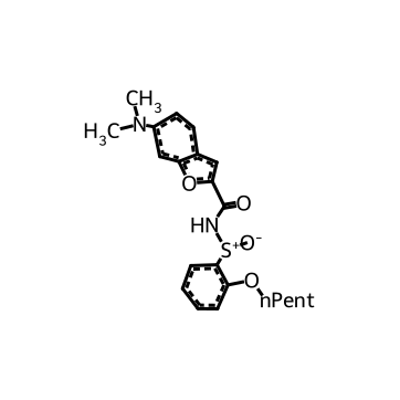 CCCCCOc1ccccc1[S+]([O-])NC(=O)c1cc2ccc(N(C)C)cc2o1